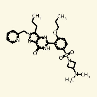 CCCOc1ccc(S(=O)(=O)N2CC(N(C)C)C2)cc1-c1nc2c(CCC)n(Cc3ccccn3)nc2c(=O)[nH]1